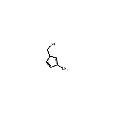 NC1=CC(CO)C=C1